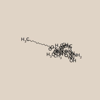 CCCCCCCCCCCCCCCCCC(=O)OCCSCC(NC(=O)OC(C)(C)C)C(=O)NC(COC(C)(C)C)C(=O)Nc1ccc(Cn2c(O)nc3c(N)nc(NCCCC)nc32)cc1